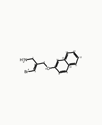 NCC(=CBr)COc1ccc2ccccc2c1